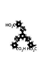 Cc1cc(C(=O)O)cc(-n2cc(-c3cc(-c4cn(-c5cccc(C(=O)O)c5)nn4)cc(-c4cn(-c5cccc(C(=O)O)c5)nn4)c3)nn2)c1